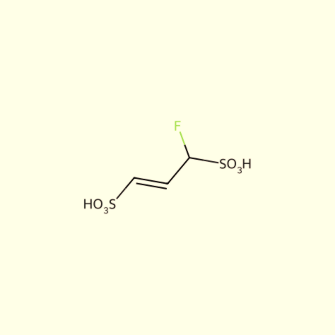 O=S(=O)(O)C=CC(F)S(=O)(=O)O